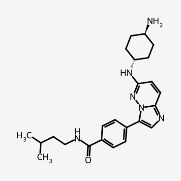 CC(C)CCNC(=O)c1ccc(-c2cnc3ccc(N[C@H]4CC[C@H](N)CC4)nn23)cc1